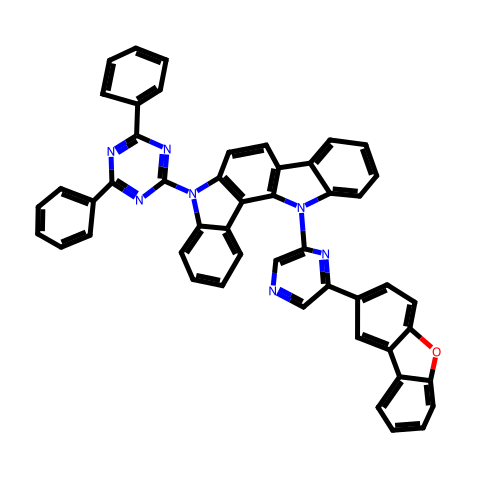 c1ccc(-c2nc(-c3ccccc3)nc(-n3c4ccccc4c4c3ccc3c5ccccc5n(-c5cncc(-c6ccc7oc8ccccc8c7c6)n5)c34)n2)cc1